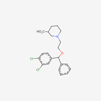 O=C(O)C1CCCN(CCOC(c2ccccc2)c2ccc(Cl)c(Cl)c2)C1